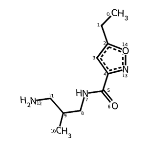 CCc1cc(C(=O)NCC(C)CN)no1